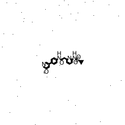 COc1cncc(-c2ccc(NC(=O)Cc3cccc(NS(=O)(=O)C4CC4)n3)cc2)c1